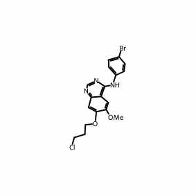 COc1cc2c(Nc3ccc(Br)cc3)ncnc2cc1OCCCCl